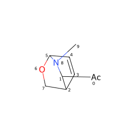 CC(=O)C1C2C=CC(OC2)N1C